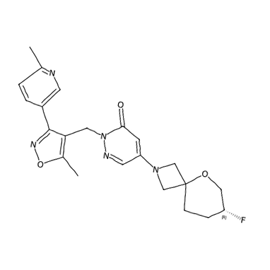 Cc1ccc(-c2noc(C)c2Cn2ncc(N3CC4(CC[C@@H](F)CO4)C3)cc2=O)cn1